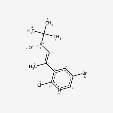 C/C(=N\[S@+]([O-])C(C)(C)C)c1cc(Br)cnc1Cl